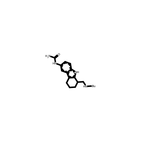 CCC(C)NCC1CCCc2c1[nH]c1ccc(NC(N)=O)cc21